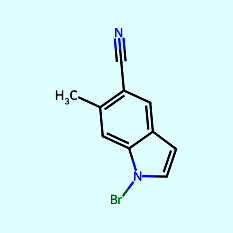 Cc1cc2c(ccn2Br)cc1C#N